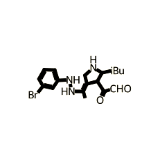 CCC(C)C1NCC(=C(C)NNc2cccc(Br)c2)C1C(=O)C=O